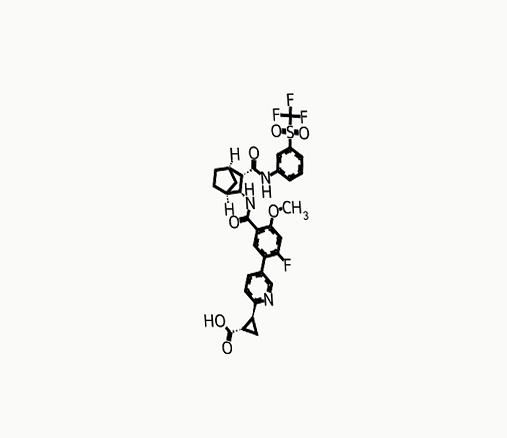 COc1cc(F)c(-c2ccc([C@H]3C[C@@H]3C(=O)O)nc2)cc1C(=O)N[C@@H]1[C@H]2CC[C@H](C2)[C@@H]1C(=O)Nc1cccc(S(=O)(=O)C(F)(F)F)c1